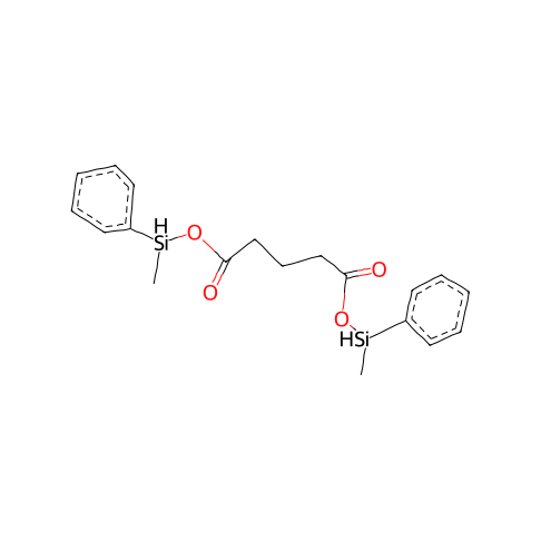 C[SiH](OC(=O)CCCC(=O)O[SiH](C)c1ccccc1)c1ccccc1